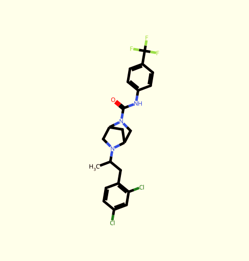 CC(Cc1ccc(Cl)cc1Cl)N1CC2CC1CN2C(=O)Nc1ccc(C(F)(F)F)cc1